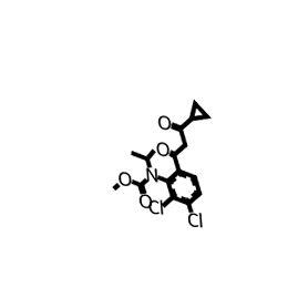 COC(=O)N(c1c(C(=O)CC(=O)C2CC2)ccc(Cl)c1Cl)C(C)C